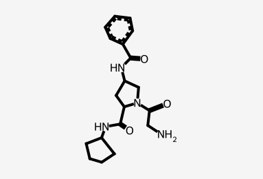 NCC(=O)N1CC(NC(=O)c2ccccc2)CC1C(=O)NC1CCCC1